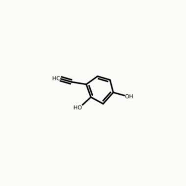 C#Cc1ccc(O)cc1O